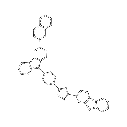 c1ccc2cc(-c3ccc4c(c3)c3ccccc3n4-c3ccc(-c4nc(-c5ccc6c(c5)sc5ccccc56)ns4)cc3)ccc2c1